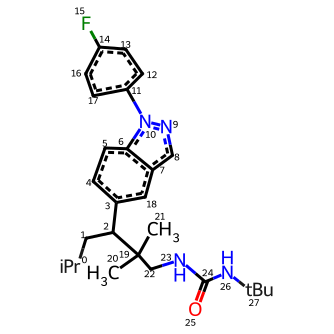 CC(C)CC(c1ccc2c(cnn2-c2ccc(F)cc2)c1)C(C)(C)CNC(=O)NC(C)(C)C